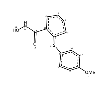 COc1ccc(Sc2ccccc2C(=O)NO)cc1